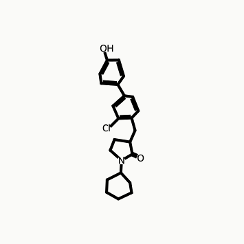 O=C1C(Cc2ccc(-c3ccc(O)cc3)cc2Cl)CCN1C1CCCCC1